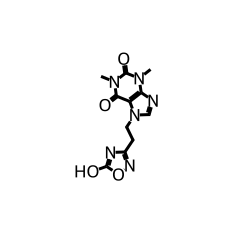 Cn1c(=O)c2c(ncn2CCc2noc(O)n2)n(C)c1=O